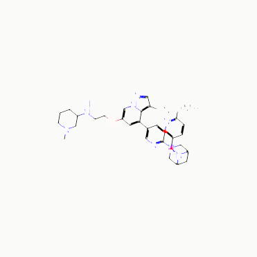 COc1ccc(CN2C3CC2CN(c2ccc(-c4cc(OCCNC5CCCN(C)C5)cn5ncc(C#N)c45)cn2)C3)cn1